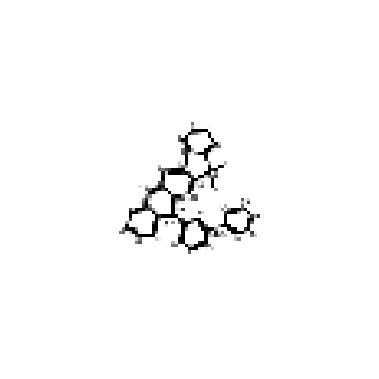 CC1(C)c2ccccc2-c2cc3cc4ccccc4c(-c4cccc(-c5ccccc5)c4)c3cc21